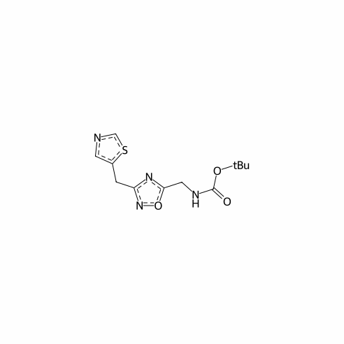 CC(C)(C)OC(=O)NCc1nc(Cc2cncs2)no1